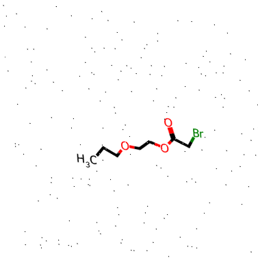 CCCOCCOC(=O)CBr